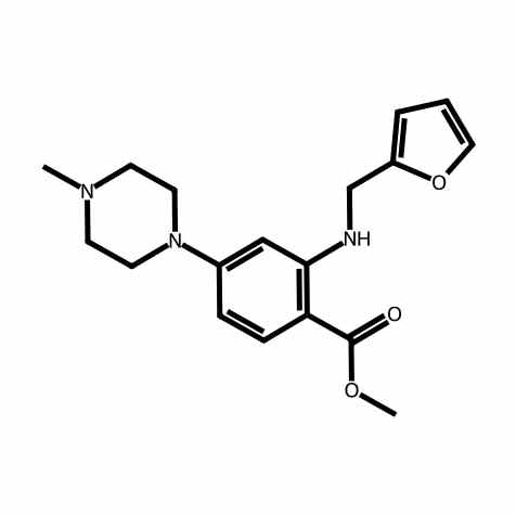 COC(=O)c1ccc(N2CCN(C)CC2)cc1NCc1ccco1